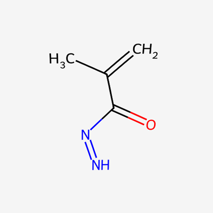 C=C(C)C(=O)N=N